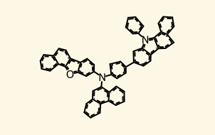 c1ccc(-n2c3cc(-c4ccc(N(c5ccc6c(c5)oc5c7ccccc7ccc65)c5cc6ccccc6c6ccccc56)cc4)ccc3c3ccc4ccccc4c32)cc1